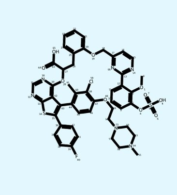 COc1c(OS(=O)(=O)O)cccc1-c1nccc(COc2ccccc2CC(Oc2ncnc3sc(-c4ccc(F)cc4)c(-c4ccc(OCCN5CCN(C)CC5)c(Cl)c4C)c23)C(=O)O)n1